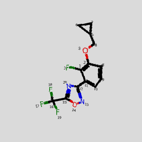 Fc1c(OCC2CC2)[c]ccc1-c1noc(C(F)(F)F)n1